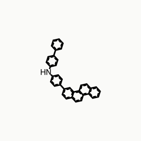 c1ccc(-c2ccc(Nc3ccc(-c4ccc5ccc6c7ccccc7ccc6c5c4)cc3)cc2)cc1